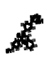 CC(C)c1ccc(S(=O)(=O)N(Cc2ccc(-c3nnn[nH]3)cc2)Cc2ccccn2)cc1